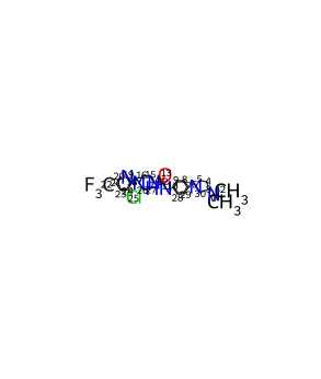 CN(C)C1CCN(c2ccc(NC(=O)N3CCN(c4ncc(C(F)(F)F)cc4Cl)CC3)cc2)C1